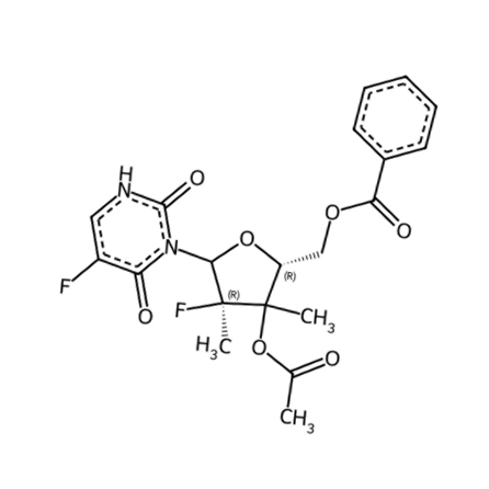 CC(=O)OC1(C)[C@@H](COC(=O)c2ccccc2)OC(n2c(=O)[nH]cc(F)c2=O)[C@]1(C)F